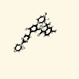 C[C@@H]1CN(c2cc(F)c(-c3cnc(N4CCOC[C@H]4C)nc3)cc2NC(=O)c2ccc(F)cc2C(F)(F)F)CCN1C